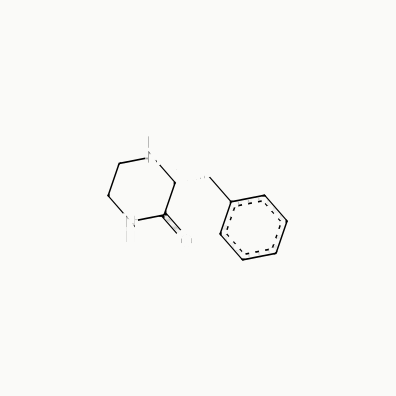 O=C1NCCN[C@@H]1Cc1ccccc1